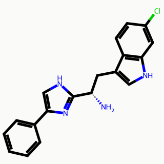 N[C@@H](Cc1c[nH]c2cc(Cl)ccc12)c1nc(-c2ccccc2)c[nH]1